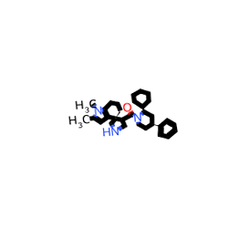 Cc1cc2c(n1C)CCC[C@]21CNCC1C(=O)N1CC[C@@H](c2ccccc2)C[C@H]1C1CCCCC1